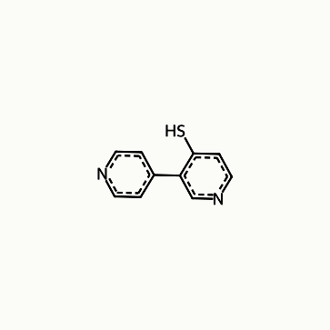 Sc1ccncc1-c1ccncc1